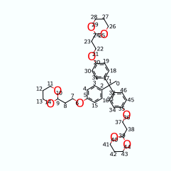 CC(c1ccc(OCCC2OCCCO2)cc1)(c1ccc(OCCC2OCCCO2)cc1)c1ccc(OCCC2OCCCO2)cc1